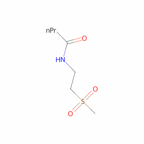 CCCC(=O)NCCS(C)(=O)=O